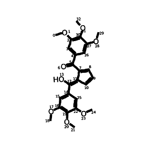 COc1cc(C(=O)C2=CC=C/C2=C(/O)c2cc(OC)c(OC)c(OC)c2)cc(OC)c1OC